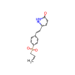 C=CCS(=O)(=O)c1ccc(C=Cc2ccc(=O)[nH]n2)cc1